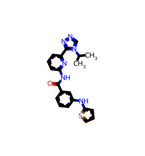 CC(C)n1cnnc1-c1cccc(NC(=O)c2cccc(Nc3cccs3)c2)n1